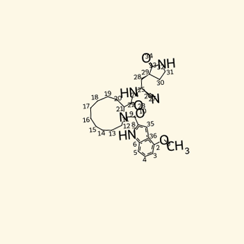 COc1cccc2[nH]c(C(=O)N3CCCCCCCCCC3C(=O)N[C@H](C#N)C[C@@H]3CCNC3=O)cc12